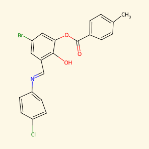 Cc1ccc(C(=O)Oc2cc(Br)cc(C=Nc3ccc(Cl)cc3)c2O)cc1